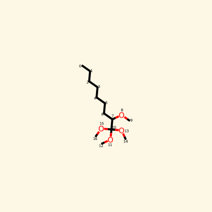 CCCCCCCC(OC)C(OC)(OC)OC